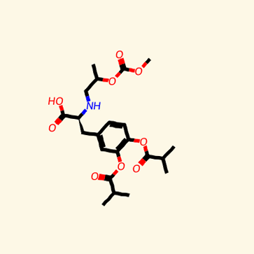 COC(=O)OC(C)CN[C@@H](Cc1ccc(OC(=O)C(C)C)c(OC(=O)C(C)C)c1)C(=O)O